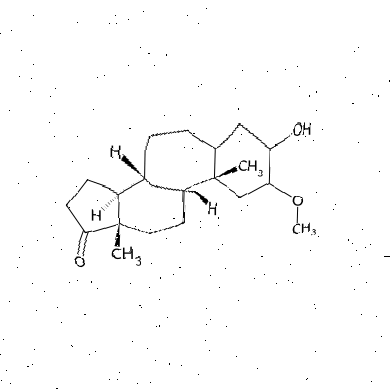 COC1C[C@@]2(C)C(CC[C@@H]3[C@H]2CC[C@]2(C)C(=O)CC[C@@H]32)CC1O